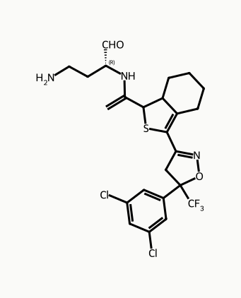 C=C(N[C@@H](C=O)CCN)C1SC(C2=NOC(c3cc(Cl)cc(Cl)c3)(C(F)(F)F)C2)=C2CCCCC21